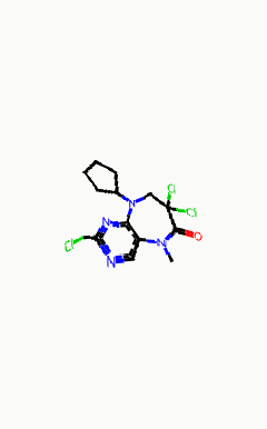 CN1C(=O)C(Cl)(Cl)CN(C2CCCC2)c2nc(Cl)ncc21